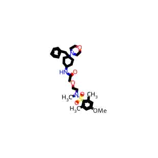 COc1cc(C)c(S(=O)(=O)N(C)CCOCC(=O)NC2CCC(Cc3ccccc3)(N3CCOCC3)CC2)c(C)c1